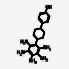 Nc1c(N)c(N)c(C2CCC(c3ccc(O)cc3)CC2)c(N)c1N